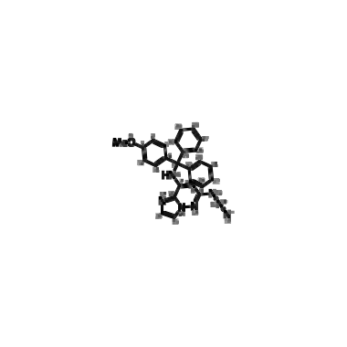 COc1ccc(C(Nc2nc(N=[N+]=[N-])nn3ccnc23)(c2ccccc2)c2ccccc2)cc1